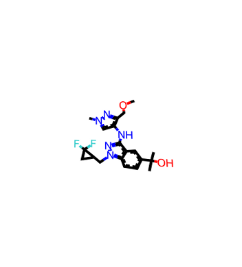 COCc1nn(C)cc1Nc1nn(CC2CC2(F)F)c2ccc(C(C)(C)O)cc12